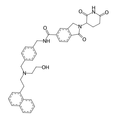 O=C1CCC(N2Cc3cc(C(=O)NCc4ccc(CN(CCO)CCc5cccc6ccccc56)cc4)ccc3C2=O)C(=O)N1